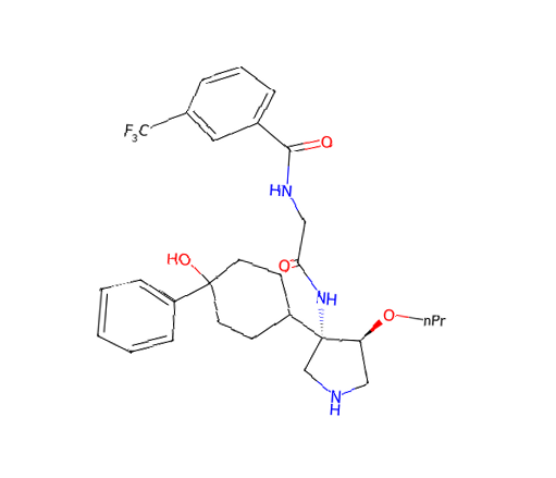 CCCO[C@H]1CNC[C@@]1(NC(=O)CNC(=O)c1cccc(C(F)(F)F)c1)C1CCC(O)(c2ccccc2)CC1